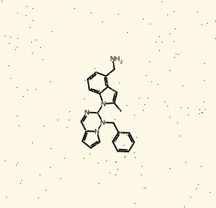 Cc1cc2c(CN)cccc2n1C1N=Cc2cccn2N1Cc1ccccc1